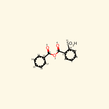 O=C(OC(=O)c1ccccc1S(=O)(=O)O)c1ccccc1